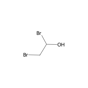 OC(Br)CBr